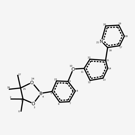 CC1(C)OB(c2cccc(Oc3cccc(-c4ccccn4)c3)c2)OC1(C)C